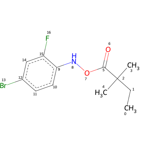 CCC(C)(C)C(=O)ONc1ccc(Br)cc1F